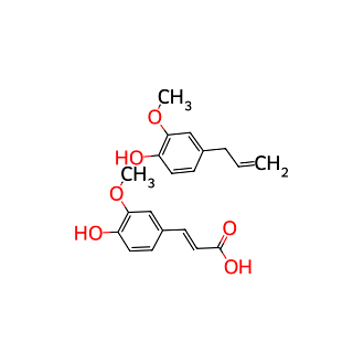 C=CCc1ccc(O)c(OC)c1.COc1cc(C=CC(=O)O)ccc1O